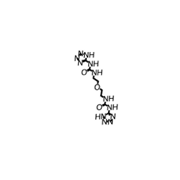 O=C(NCCOCCNC(=O)Nc1nnn[nH]1)Nc1nnn[nH]1